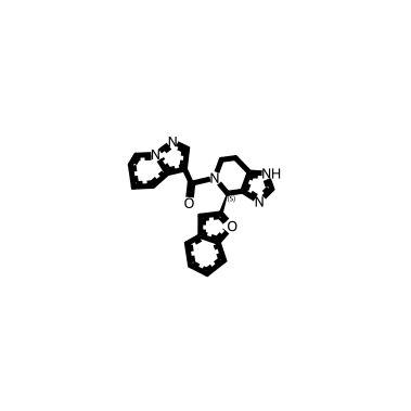 O=C(c1cnn2ccccc12)N1CCc2[nH]cnc2[C@H]1c1cc2ccccc2o1